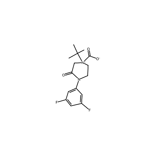 CC(C)(C)[N+]1(C(=O)[O-])CCN(c2cc(F)cc(F)c2)C(=O)C1